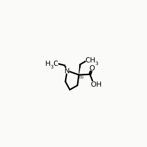 CCN1CCC[C@@]1(CC)C(=O)O